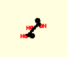 CC(CO)(CCCCC(O)CCCCC(C)(CO)c1ccccc1)c1ccccc1